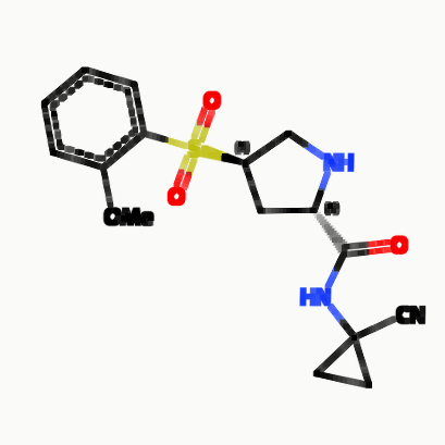 COc1ccccc1S(=O)(=O)[C@H]1CN[C@H](C(=O)NC2(C#N)CC2)C1